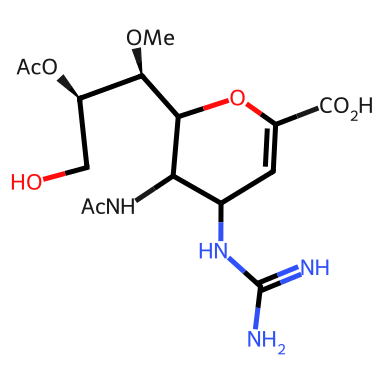 CO[C@@H](C1OC(C(=O)O)=CC(NC(=N)N)C1NC(C)=O)[C@@H](CO)OC(C)=O